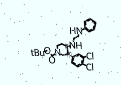 CC(C)(C)OC(=O)N1CC[C@@H](NCCNc2ccccc2)[C@H](c2ccc(Cl)c(Cl)c2)C1